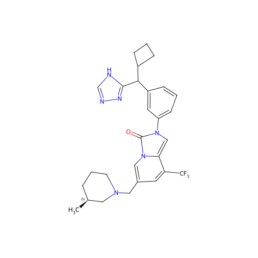 C[C@H]1CCCN(Cc2cc(C(F)(F)F)c3cn(-c4cccc(C(c5nnc[nH]5)C5CCC5)c4)c(=O)n3c2)C1